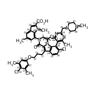 Cc1cc(N2CC(C)n3c(c(CCCOc4cc(C)c(Cl)c(C)c4)c4ccc(Cl)c(-c5c(C)nc(CN6CCN(C)CC6)nc5C)c43)C2=O)c2c(c1)cc(C(=O)O)n2C